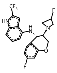 Fc1ccc2c(c1)OC[C@H](N1CC(F)C1)[C@H]2Nc1cccc2[nH]c(C(F)(F)F)cc12